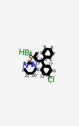 Br.CC1=C(C(c2ccccc2)c2ccc(Cl)cc2)N2CCCCN=C2S1